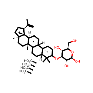 C=C(C)[C@@H]1CC[C@]2(C)CC[C@]3(C)[C@H](CC[C@@H]4[C@@]5(C)CCC(O[C@@H]6[C@@H](O)[C@H](O)O[C@H](CO)[C@H]6O)C(C)(C)[C@@H]5CC[C@]43C)[C@@H]12.CC(=O)O.CC(=O)O.CC(=O)O.CC(=O)O